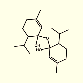 CC1=CC(O)(OC2(O)C=C(C)CCC2C(C)C)C(C(C)C)CC1